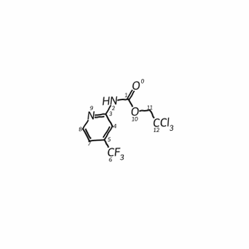 O=C(Nc1cc(C(F)(F)F)ccn1)OCC(Cl)(Cl)Cl